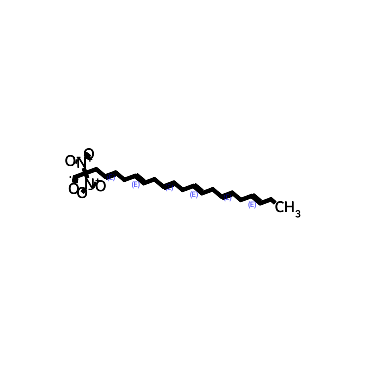 CC/C=C/C/C=C/C/C=C/C/C=C/C/C=C/C/C=C/CC([C]=O)([N+](=O)[O-])[N+](=O)[O-]